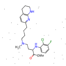 COC(=O)C(CCN(C)CCCCc1ccc2c(n1)NCCC2)Nc1cccc(F)c1Cl